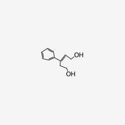 OCC=C(CCO)c1ccccc1